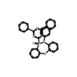 O=P1(c2nc(-c3ccccc3)nc(-c3ccccc3)n2)c2ccccc2Sc2ccccc2N1c1ccccc1